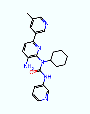 Cc1cncc(-c2ccc(N)c(N(C(=O)Nc3cccnc3)C3CCCCC3)n2)c1